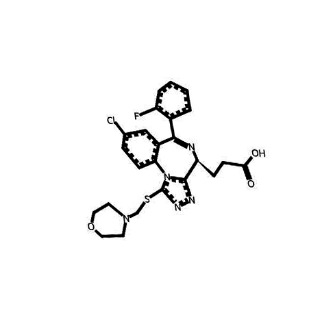 O=C(O)CC[C@@H]1N=C(c2ccccc2F)c2cc(Cl)ccc2-n2c(SCN3CCOCC3)nnc21